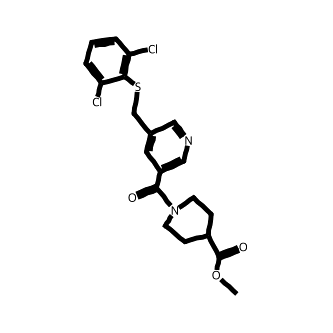 COC(=O)C1CCN(C(=O)c2cncc(CSc3c(Cl)cccc3Cl)c2)CC1